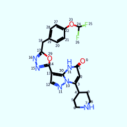 O=c1cc(C2CCNCC2)n2ncc(-c3nnc(Cc4ccc(OC(F)F)cc4)o3)c2[nH]1